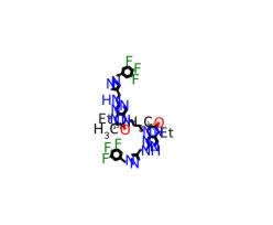 CCN1C(=O)[C@@H](C)N(CCCCN2C(=O)[C@H](C)N(CC)c3nc(NCc4cnn(Cc5cc(F)c(F)c(F)c5)c4)ncc32)c2nc(NCc3cnn(Cc4cc(F)c(F)c(F)c4)c3)ncc21